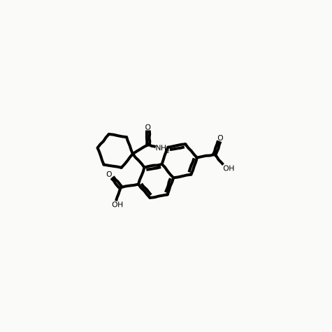 NC(=O)C1(c2c(C(=O)O)ccc3cc(C(=O)O)ccc23)CCCCC1